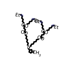 CC/C=C\CCCCOC(CCC(=O)OCCCCCCCN(CCCCCCCOC(=O)CCC(OCCCC/C=C\CC)OCCCC/C=C\CC)CC1CCN(C)C1)OCCCC/C=C\CC